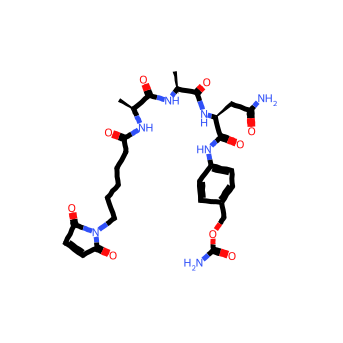 C[C@H](NC(=O)CCCCCN1C(=O)C=CC1=O)C(=O)N[C@@H](C)C(=O)N[C@@H](CC(N)=O)C(=O)Nc1ccc(COC(N)=O)cc1